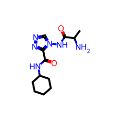 CC(N)C(=O)Nn1cnnc1C(=O)NC1CCCCC1